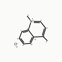 Cc1cc[n+](C)c2ccccc12.[Cl-]